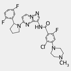 CN1CCN(c2cc(F)c(C(=O)Nc3cnn4ccc(N5CCCC5c5cc(F)ccc5F)nc34)cc2Cl)CC1